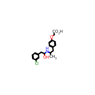 CC(Cc1ccc(OCC(=O)O)cc1)NC(O)Cc1cccc(Cl)c1